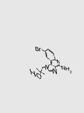 CC(C)(O)Cn1cnc2c(N)nc3ccc(Br)cc3c21